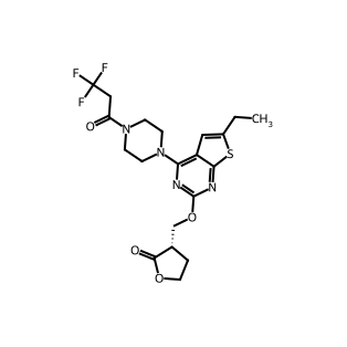 CCc1cc2c(N3CCN(C(=O)CC(F)(F)F)CC3)nc(OC[C@@H]3CCOC3=O)nc2s1